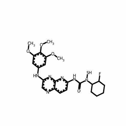 COc1cc(Nc2cnc3ccc(NC(=O)N(S)C4CCCCC4F)nc3n2)cc(OC)c1OC